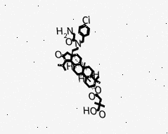 CC(C)C1=C2[C@H]3CC[C@@H]4[C@@]5(C)CC[C@H](OC(=O)CC(C)(C)C(=O)O)C(C)(C)[C@@H]5CC[C@@]4(C)[C@]3(C)CC[C@@]2(CCN(Cc2ccc(Cl)cc2)C(=O)CN)CC1=O